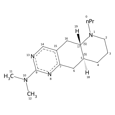 CCCN1CCC[C@H]2Cc3nc(N(C)C)ncc3C[C@@H]21